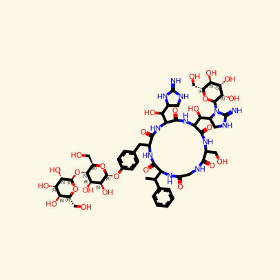 CC(c1ccccc1)C1NC(=O)CNC(=O)C(CO)NC(=O)C(C(O)C2CNC(=N)N2C2O[C@H](CO)[C@@H](O)[C@H](O)[C@@H]2O)NC(=O)C(C(O)C2CNC(=N)N2)NC(=O)C(Cc2ccc(O[C@H]3O[C@H](CO)[C@@H](O[C@H]4O[C@H](CO)[C@@H](O)[C@H](O)[C@@H]4O)[C@H](O)[C@@H]3O)cc2)NC1=O